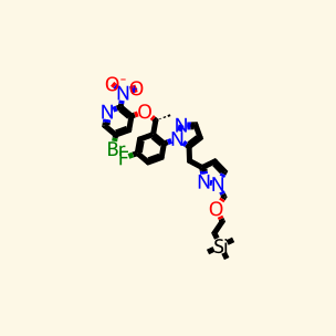 C[C@@H](Oc1cc(Br)cnc1[N+](=O)[O-])c1cc(F)ccc1-n1nccc1Cc1ccn(COCC[Si](C)(C)C)n1